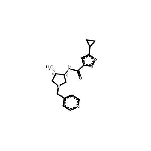 C[C@H]1CN(Cc2ccncc2)C[C@@H]1NC(=O)c1cc(C2CC2)on1